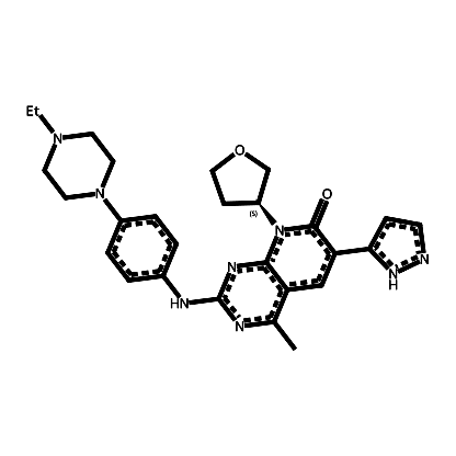 CCN1CCN(c2ccc(Nc3nc(C)c4cc(-c5ccn[nH]5)c(=O)n([C@H]5CCOC5)c4n3)cc2)CC1